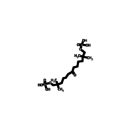 CC(C)(CCCCC(=O)CCCCC(C)(C)COP(=O)(O)O)COP(=O)(O)O